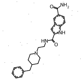 NC(=O)c1ccc2[nH]c(C(=O)NCCN3CCC(Cc4ccccc4)CC3)cc2c1